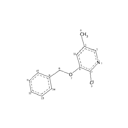 Cc1cnc(Cl)c(OCc2ccccc2)c1